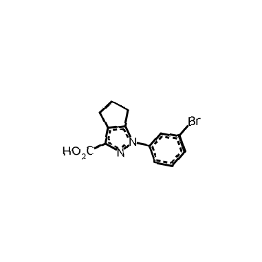 O=C(O)c1nn(-c2cccc(Br)c2)c2c1CCC2